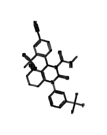 CNC(=O)N1C(=O)N(c2cccc(C(F)(F)F)c2)C2=C(C(=O)CCC2)C1c1ccc(C#N)cc1S(C)(=O)=O